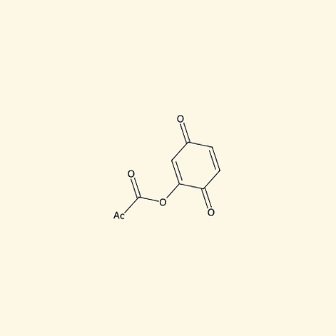 CC(=O)C(=O)OC1=CC(=O)C=CC1=O